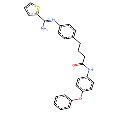 N/C(=N\c1ccc(CCCC(=O)Nc2ccc(Oc3ccccc3)cc2)cc1)c1cccs1